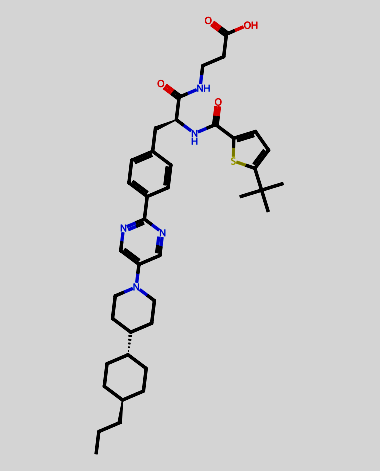 CCC[C@H]1CC[C@H](C2CCN(c3cnc(-c4ccc(C[C@H](NC(=O)c5ccc(C(C)(C)C)s5)C(=O)NCCC(=O)O)cc4)nc3)CC2)CC1